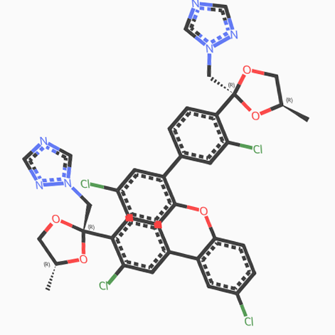 C[C@@H]1CO[C@](Cn2cncn2)(c2ccc(-c3cc(Cl)ccc3Oc3ccc(Cl)cc3-c3ccc([C@@]4(Cn5cncn5)OC[C@@H](C)O4)c(Cl)c3)cc2Cl)O1